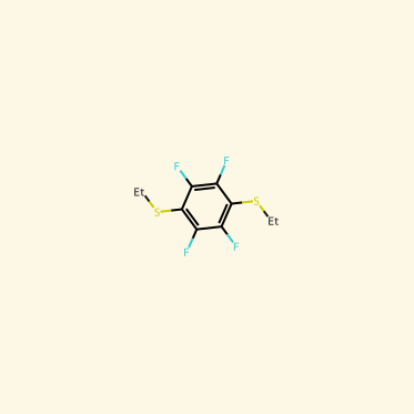 CCSc1c(F)c(F)c(SCC)c(F)c1F